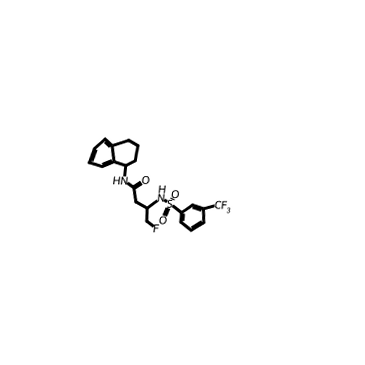 O=C(CC(CF)NS(=O)(=O)c1cccc(C(F)(F)F)c1)NC1CCCc2ccccc21